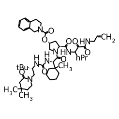 C=CCNC(=O)C(=O)C(CCC)NC(=O)[C@@H]1C[C@@H](OC(=O)N2CCc3ccccc3C2)CN1C(=O)[C@@H](NC(=O)N[C@H](CN1CCC(C)(C)CC1=O)C(C)(C)C)C1(C)CCCCC1